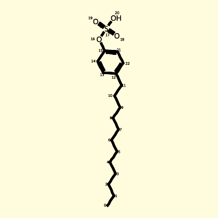 CCCCCCCCCCCCc1ccc(OS(=O)(=O)O)cc1